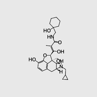 C/C(C(=O)NCC1(O)CCCCC1)=C(/O)[C@@H]1Oc2c(O)ccc3c2[C@@]12CCN(CC1CC1)[C@H](C3)[C@@]2(C)O